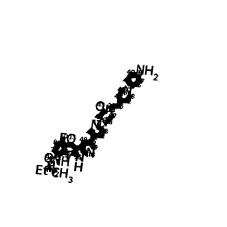 CCN(C)[S+]([O-])Nc1ccc(F)c(C(=O)c2c[nH]c3ncc(-c4ccc(N5CCN(CCC6CCN(c7ccc(N)cc7)CC6)C(=O)C5)nc4)cc23)c1F